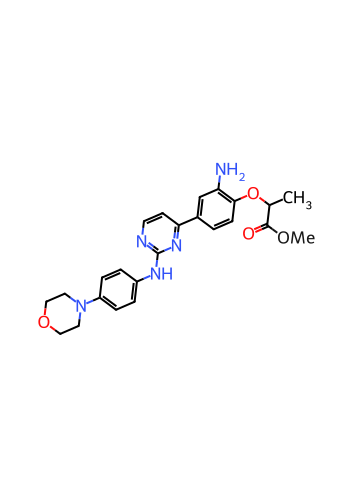 COC(=O)C(C)Oc1ccc(-c2ccnc(Nc3ccc(N4CCOCC4)cc3)n2)cc1N